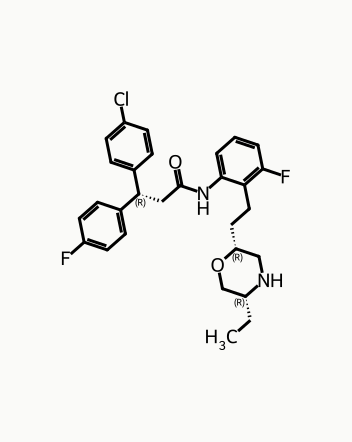 CC[C@@H]1CO[C@H](CCc2c(F)cccc2NC(=O)C[C@H](c2ccc(F)cc2)c2ccc(Cl)cc2)CN1